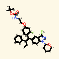 CC/C(=C(\c1ccc2c(c1)c(F)nn2C1CCCCO1)c1ccc(OCCNC(=O)OC(C)(C)C)cc1F)c1ccccc1